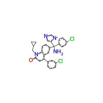 Cn1cncc1C(N)(c1ccc(Cl)cc1)c1ccc2c(c1)c(-c1cccc(Cl)c1)cc(=O)n2CC1CC1